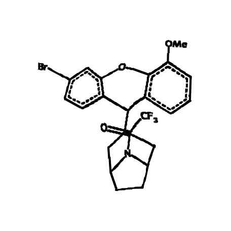 COc1cccc2c1Oc1cc(Br)ccc1C2C1CC2CCC(C1)N2C(=O)C(F)(F)F